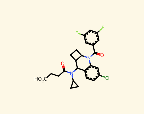 O=C(O)CCC(=O)N(C1CC1)C1c2ccc(Cl)cc2N(C(=O)c2cc(F)cc(F)c2)C2CCC21